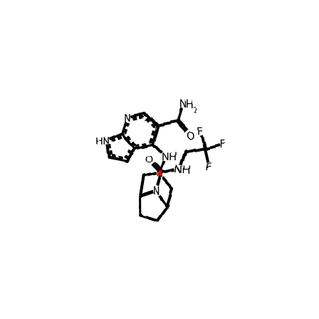 NC(=O)c1cnc2[nH]ccc2c1NN1CC2CCC(C1)N2C(=O)NCC(F)(F)F